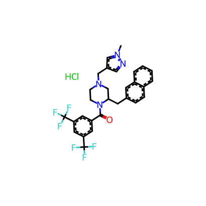 Cl.Cn1cc(CN2CCN(C(=O)c3cc(C(F)(F)F)cc(C(F)(F)F)c3)C(Cc3ccc4ccccc4c3)C2)cn1